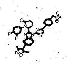 Cc1noc(C)c1-c1ccc2c(c1)nc(C1CCCC(=O)N1c1ccc(F)c(F)c1)n2-c1nc(-c2ccc(CS(C)(=O)=O)cc2)cs1